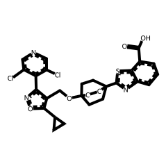 O=C(O)c1cccc2nc(C34CCC(OCc5c(-c6c(Cl)cncc6Cl)noc5C5CC5)(CC3)CC4)sc12